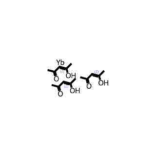 CC(=O)/C=C(/C)O.CC(=O)/C=C(/C)O.CC(=O)/C=C(/C)O.[Yb]